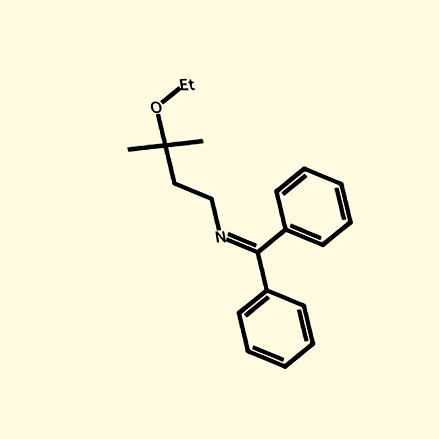 CCOC(C)(C)CCN=C(c1ccccc1)c1ccccc1